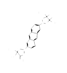 CC1OB(c2ccc3cc4cc(B5OC(C)(C)C(C)(C)O5)ccc4cc3c2)OC1(C)C